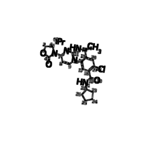 CC(C)[C@H]1COC(=O)N1c1ccnc(N[C@@H](C)c2ccc(C(=O)NC3CCCC3)c(Cl)c2)n1